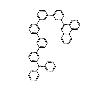 C1=CC2C=C(c3cccc(-c4cccc(-c5cccc(-c6cccc(-c7cccc(N(c8ccccc8)c8ccccc8)c7)c6)c5)c4)c3)c3ccccc3C2C=C1